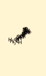 CCC(CC)C(=O)Nc1ccc(N2CCN(C(c3ccccn3)c3ncco3)CC2)c(F)c1